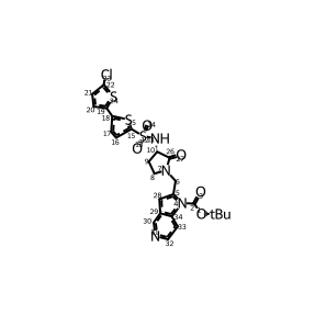 CC(C)(C)OC(=O)n1c(CN2CC[C@H](NS(=O)(=O)c3ccc(-c4ccc(Cl)s4)s3)C2=O)cc2cnccc21